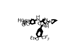 CCOc1ccc(CNc2nc(N3CC4CC4C3)ncc2C(=O)NC2CCC(OP(=O)(O)O)CC2)cc1C(F)(F)F